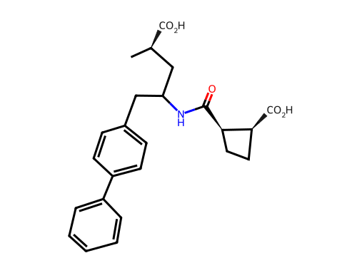 C[C@H](CC(Cc1ccc(-c2ccccc2)cc1)NC(=O)[C@@H]1CC[C@@H]1C(=O)O)C(=O)O